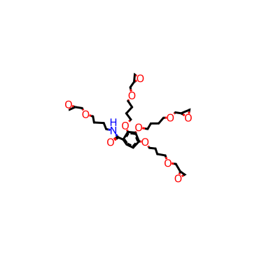 O=C(NCCCCOCC1CO1)c1ccc(OCCCCOCC2CO2)c(OCCCCOCC2CO2)c1OCCCCOCC1CO1